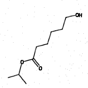 CC(C)OC(=O)CCCCCO